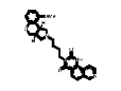 COc1cccc2c1[C@@H]1CN(CCCCn3c(=O)[nH]c4c(ccc5cnccc54)c3=O)C[C@@H]1CO2